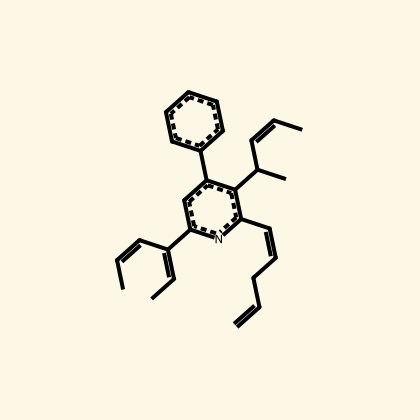 C=CC/C=C\c1nc(C(/C=C\C)=C/C)cc(-c2ccccc2)c1C(C)/C=C\C